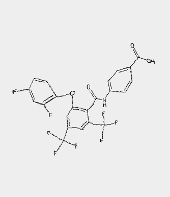 O=C(O)c1ccc(NC(=O)c2c(Oc3ccc(F)cc3F)cc(C(F)(F)F)cc2C(F)(F)F)cc1